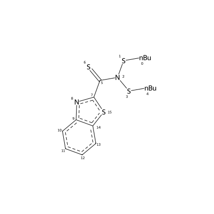 CCCCSN(SCCCC)C(=S)c1nc2ccccc2s1